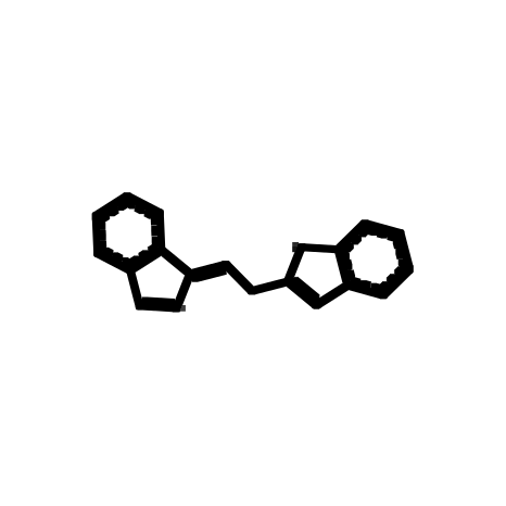 [C]1C(CC=C2[C]=Cc3ccccc32)=Cc2ccccc21